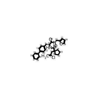 C=C(Cl)CC1(C(=O)N[C@@H](Cc2ccc(-c3ccccc3)cc2)C(=O)NCc2ccco2)CCCC1